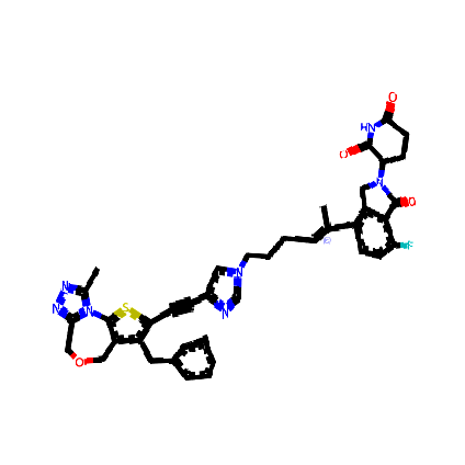 C/C(=C\CCCn1cnc(C#Cc2sc3c(c2Cc2ccccc2)COCc2nnc(C)n2-3)c1)c1ccc(F)c2c1CN(C1CCC(=O)NC1=O)C2=O